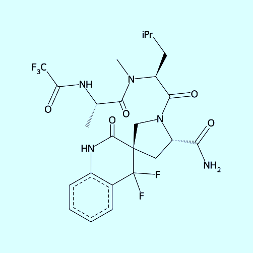 CC(C)C[C@@H](C(=O)N1C[C@]2(C[C@H]1C(N)=O)C(=O)Nc1ccccc1C2(F)F)N(C)C(=O)[C@H](C)NC(=O)C(F)(F)F